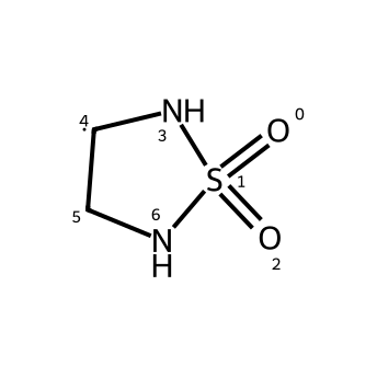 O=S1(=O)N[CH]CN1